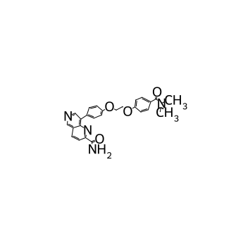 CN(C)C(=O)c1ccc(OCCOc2ccc(-c3cncc4ccc(C(N)=O)nc34)cc2)cc1